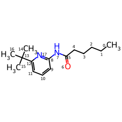 CCCCCC(=O)Nc1cccc(C(C)(C)C)n1